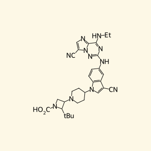 CCNc1nc(Nc2ccc3c(c2)c(C#N)cn3C2CCN(C3CN(C(=O)O)C3C(C)(C)C)CC2)nn2c(C#N)cnc12